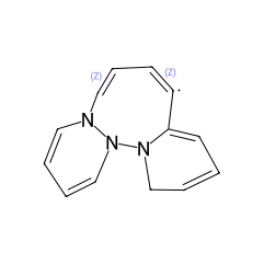 [C]1=C\C=C/N2C=CC=CN2N2CC=CC=C/12